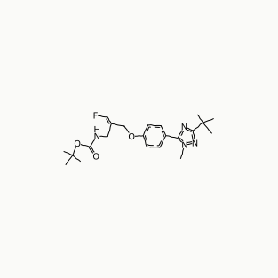 Cn1nc(C(C)(C)C)nc1-c1ccc(OC/C(=C/F)CNC(=O)OC(C)(C)C)cc1